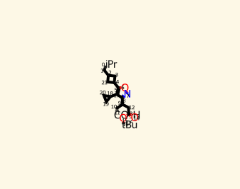 CC(C)CC1CC(c2onc(C(CC(=O)O)CC(=O)OC(C)(C)C)c2C2CC2)C1